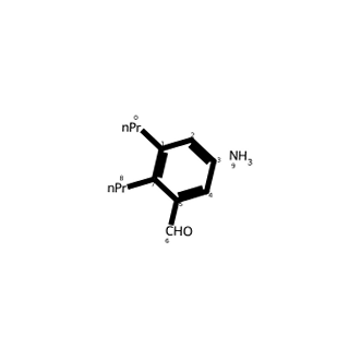 CCCc1cccc(C=O)c1CCC.N